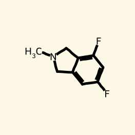 CN1Cc2cc(F)cc(F)c2C1